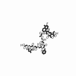 CC[C@@]1(O)C(=O)OCc2c1cc1n(c2=O)Cc2c-1nc1cc(F)c(C)c3c1c2[C@@H](NC(=O)C(C)OCNC(=O)CNC(=O)[C@H](Cc1ccccc1)NC(=O)CNC(=O)CNC(=O)[C@H](CNCC(=O)O)N1C(=O)CC(C)C1=O)CC3